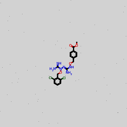 COC(=O)c1ccc(CONC(N)=NN(OCc2c(Cl)cccc2Cl)C(=N)N)cc1